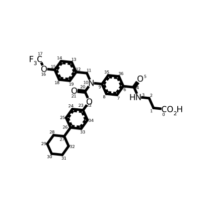 O=C(O)CCNC(=O)c1ccc(N(Cc2ccc(OC(F)(F)F)cc2)C(=O)Oc2ccc(C3CCCCC3)cc2)cc1